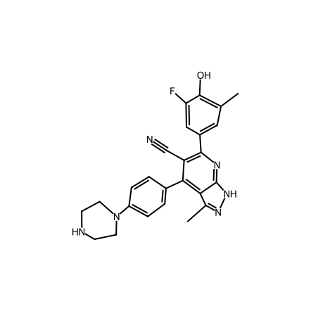 Cc1cc(-c2nc3[nH]nc(C)c3c(-c3ccc(N4CCNCC4)cc3)c2C#N)cc(F)c1O